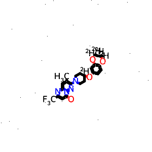 [2H]C1(Oc2ccc3c(c2)OC([2H])([2H])C([2H])([2H])O3)CCN(c2nn3c(=O)cc(C(F)(F)F)nc3cc2C)CC1